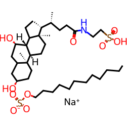 CCCCCCCCCCCCOS(=O)(=O)[O-].C[C@H](CCC(=O)NCCS(=O)(=O)O)[C@H]1CCC2[C@H]3[C@H](O)CC4C[C@H](O)CC[C@]4(C)[C@@H]3CC[C@@]21C.[Na+]